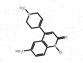 CCn1c(=O)cc(C2=CCN(C)CC2)c2cc(C(=O)O)ccc21